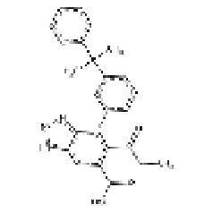 CCC(=O)c1c(C(=O)O)cc2[nH]nnc2c1-c1cccc(C(C)(C)c2ccccc2)c1